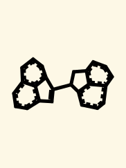 C1=C(C2Cc3cccc4cccc2c34)c2cccc3cccc1c23